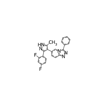 Cc1[nH]nc(-c2ccc(F)cc2F)c1-c1ccc2nnc(-c3ccccc3)n2c1